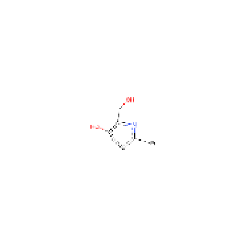 CC(C)c1ccc(O)c(CO)n1